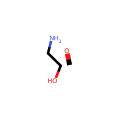 C=O.NCCO